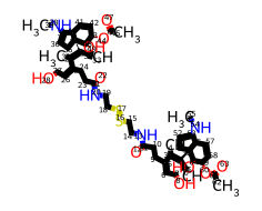 C#C/C(=C(C)\C(=C/CO)CCC(=O)NCCSSCCNC(=O)CCC(=C/CO)/C(C)=C(\C#C)[C@]12CC=C(NC)C1C=C[C@H](OC(C)=O)[C@@H]2O)[C@@]12CC=C(NC)C1C=C[C@@H](OC(C)=O)[C@H]2O